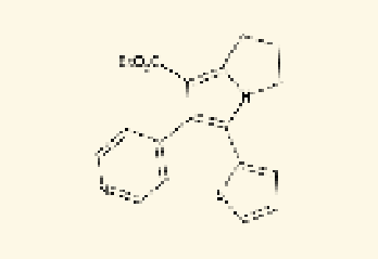 CCOC(=O)c1c(-c2ccncc2)c(-c2cccs2)n2c1CCC2